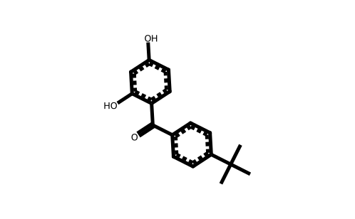 CC(C)(C)c1ccc(C(=O)c2ccc(O)cc2O)cc1